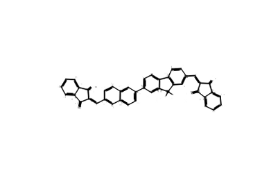 CC1(C)c2cc(C=C3C(=O)c4ccccc4C3=O)ccc2-c2ccc(-c3ccc4cc(C=C5C(=O)c6ccccc6C5=O)ccc4c3)cc21